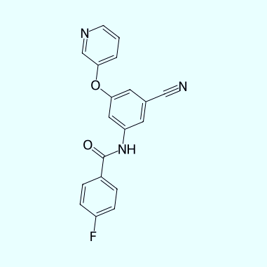 N#Cc1cc(NC(=O)c2ccc(F)cc2)cc(Oc2cccnc2)c1